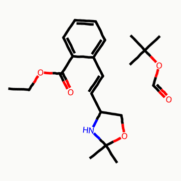 CC(C)(C)OC=O.CCOC(=O)c1ccccc1C=CC1COC(C)(C)N1